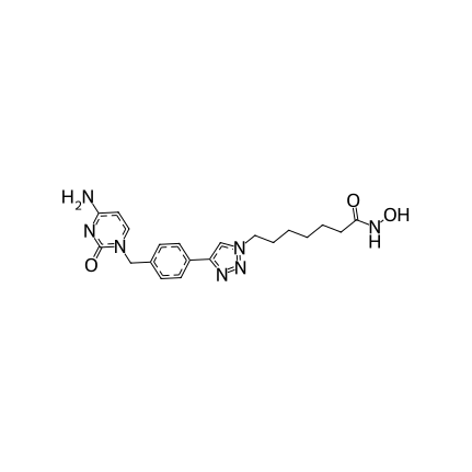 Nc1ccn(Cc2ccc(-c3cn(CCCCCCC(=O)NO)nn3)cc2)c(=O)n1